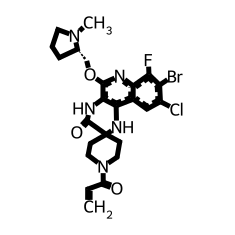 C=CC(=O)N1CCC2(CC1)Nc1c(c(OC[C@@H]3CCCN3C)nc3c(F)c(Br)c(Cl)cc13)NC2=O